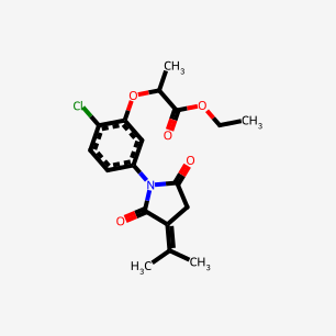 CCOC(=O)C(C)Oc1cc(N2C(=O)CC(=C(C)C)C2=O)ccc1Cl